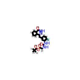 C[C@@H](NC(=O)Nc1cc(Cc2n[nH]c(=O)c3ccccc23)ccc1F)C(=O)OC(=O)C(C)(C)C